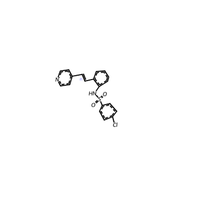 O=S(=O)(Nc1ccccc1/C=C/c1ccncc1)c1ccc(Cl)cc1